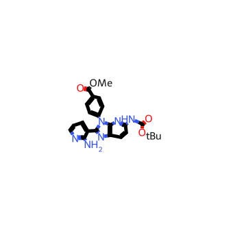 COC(=O)c1ccc(-n2c(-c3cccnc3N)nc3ccc(NC(=O)OC(C)(C)C)nc32)cc1